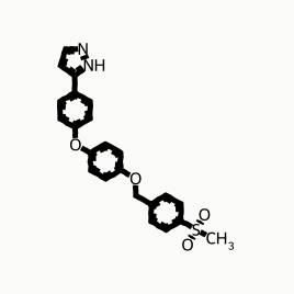 CS(=O)(=O)c1ccc(COc2ccc(Oc3ccc(-c4ccn[nH]4)cc3)cc2)cc1